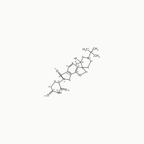 CC(C)(C)N1CCC2(COc3c2ccc2c3CN(C3CCC(=O)NC3=O)C2=O)C(F)(F)C1